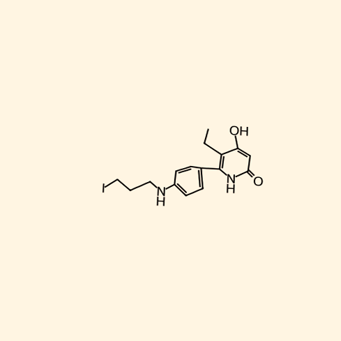 CCc1c(O)cc(=O)[nH]c1-c1ccc(NCCCI)cc1